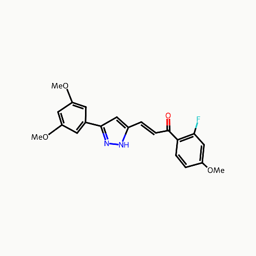 COc1cc(OC)cc(-c2cc(/C=C/C(=O)c3ccc(OC)cc3F)[nH]n2)c1